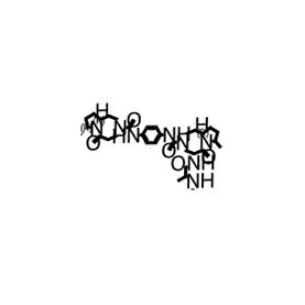 CNC(C)C(=O)NC1CN(C(=O)Nc2ccc(NC(=O)N3CCC(=O)N4[C@H](CC[C@H]4C)CC3)cc2)CC[C@H]2CCC(C)N2C1=O